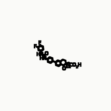 CCC1(CC(=O)O)CCc2cc(-c3ccc(NC(=O)Nc4ccc(F)c(F)c4)cc3)ccc2C1=O